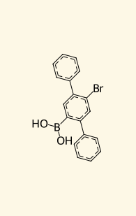 OB(O)c1cc(-c2ccccc2)c(Br)cc1-c1ccccc1